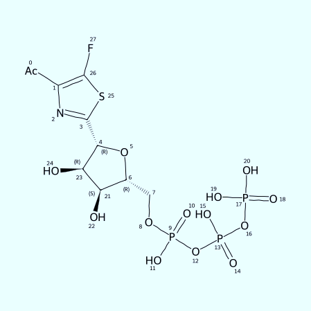 CC(=O)c1nc([C@@H]2O[C@H](COP(=O)(O)OP(=O)(O)OP(=O)(O)O)[C@@H](O)[C@H]2O)sc1F